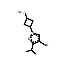 CCOC(=O)C1CC(n2cc([N+](=O)[O-])c(C(F)F)n2)C1